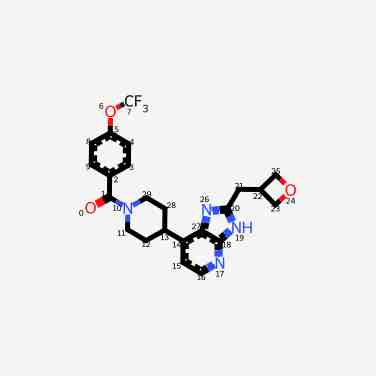 O=C(c1ccc(OC(F)(F)F)cc1)N1CCC(c2ccnc3[nH]c(CC4COC4)nc23)CC1